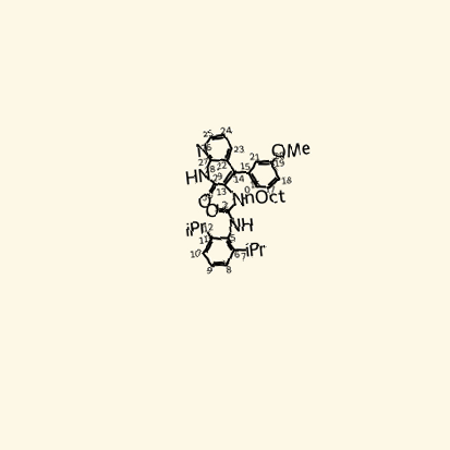 CCCCCCCCN(C(=O)Nc1c(C(C)C)cccc1C(C)C)c1c(-c2cccc(OC)c2)c2cccnc2[nH]c1=O